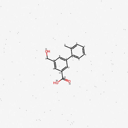 Cc1ccccc1-c1cc(CO)cc(C(=O)O)c1